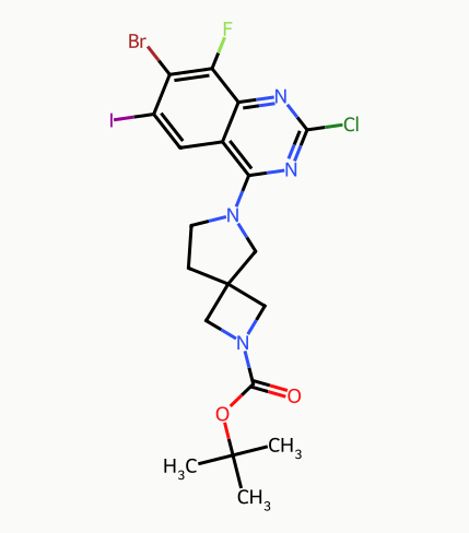 CC(C)(C)OC(=O)N1CC2(CCN(c3nc(Cl)nc4c(F)c(Br)c(I)cc34)C2)C1